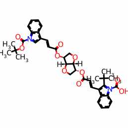 CC(C)(C)OC(=O)n1cc(/C=C/C(=O)O[C@H]2CO[C@H]3[C@@H]2OC[C@H]3OC(=O)/C=C/c2c(C(C)(C)C)n(C(=O)O)c3ccccc23)c2ccccc21